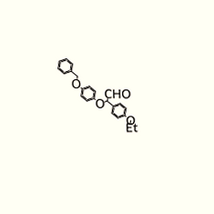 CCOc1ccc(C(C=O)Oc2ccc(OCc3ccccc3)cc2)cc1